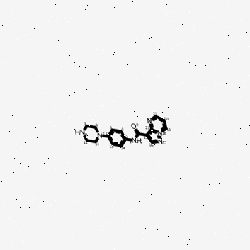 O=C(Nc1ccc(N2CCNCC2)cc1)c1cnn2cccnc12